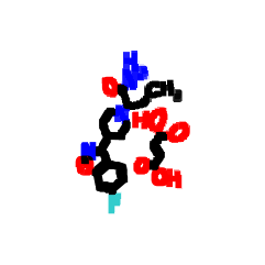 CCC(C(N)=O)N1CCC(c2noc3cc(F)ccc23)CC1.O=C(O)C=CC(=O)O